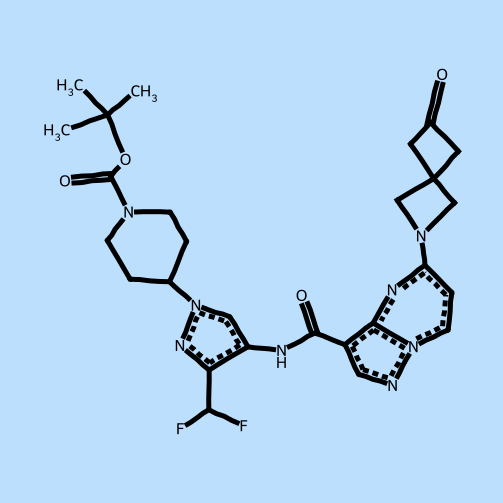 CC(C)(C)OC(=O)N1CCC(n2cc(NC(=O)c3cnn4ccc(N5CC6(CC(=O)C6)C5)nc34)c(C(F)F)n2)CC1